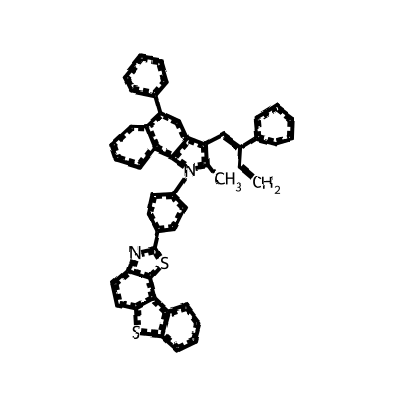 C=C/C(=C\c1c(C)n(-c2ccc(-c3nc4ccc5sc6ccccc6c5c4s3)cc2)c2c1cc(-c1ccccc1)c1ccccc12)c1ccccc1